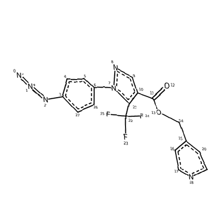 [N-]=[N+]=Nc1ccc(-n2ncc(C(=O)OCc3ccncc3)c2C(F)(F)F)cc1